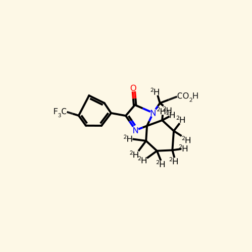 [2H]C([2H])(C(=O)O)N1C(=O)C(c2ccc(C(F)(F)F)cc2)=NC12C([2H])([2H])C([2H])([2H])C([2H])([2H])C([2H])([2H])C2([2H])[2H]